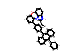 CCc1nc2cccc3c2n1-c1c(cccc1-c1ccc(-c2c4ccccc4c(C4C=CC=CC4)c4ccccc24)cc1)O3